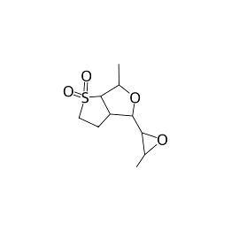 CC1OC1C1OC(C)C2C1CCS2(=O)=O